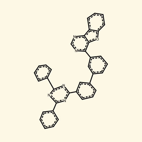 c1ccc(-c2nc(-c3ccccc3)nc(-c3cccc(-c4cccc(-c5ncnc6c5oc5ccccc56)c4)c3)n2)cc1